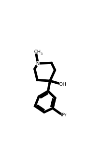 CC(C)c1cccc(C2(O)CCN(C)CC2)c1